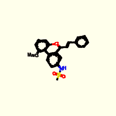 COc1cccc2c1-c1ccc(NS(C)(=O)=O)cc1C(C=Cc1ccccc1)O2